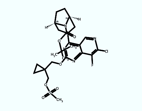 CC(C)(C)OC(=O)N1[C@@H]2CC[C@H]1CN(c1nc(OCC3(COS(C)(=O)=O)CC3)nc3c(F)c(Cl)ncc13)C2